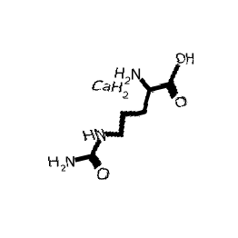 NC(=O)NCCCC(N)C(=O)O.[CaH2]